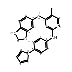 Cc1cnc(Nc2ccc(-n3cccc3)cc2)nc1Nc1ccc2c(c1)OCO2